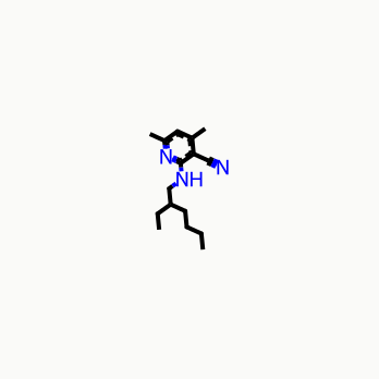 CCCCC(CC)CNc1nc(C)cc(C)c1C#N